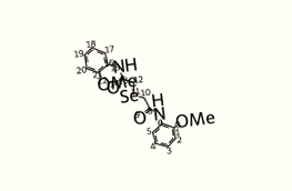 COc1ccccc1NC(=O)C[Se]CC(=O)Nc1ccccc1OC